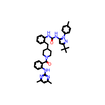 Cc1ccc(-n2nc(C(C)(C)C)cc2NC(=O)Nc2ccccc2CC2CCN(C(=O)c3ccccc3Nc3nc(C)cc(C)n3)CC2)cc1